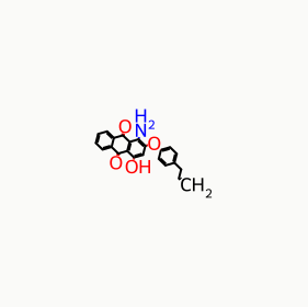 C=CCc1ccc(Oc2cc(O)c3c(c2N)C(=O)c2ccccc2C3=O)cc1